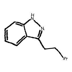 CC(C)CCc1n[nH]c2ccccc12